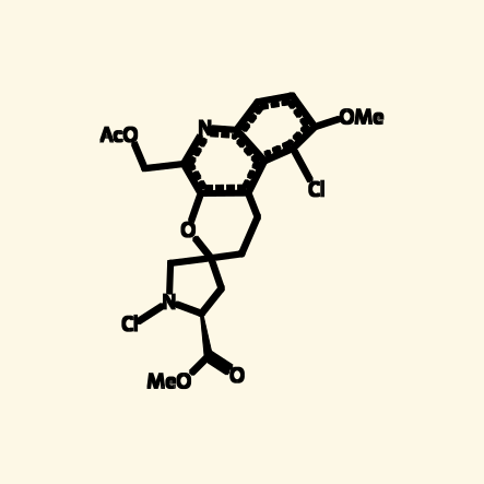 COC(=O)[C@@H]1CC2(CCc3c(c(COC(C)=O)nc4ccc(OC)c(Cl)c34)O2)CN1Cl